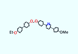 CCOc1ccc(-c2ccc(OCOc3ccc(-c4ccc(-c5ccc(OC)cc5)cn4)cc3)cc2)cc1